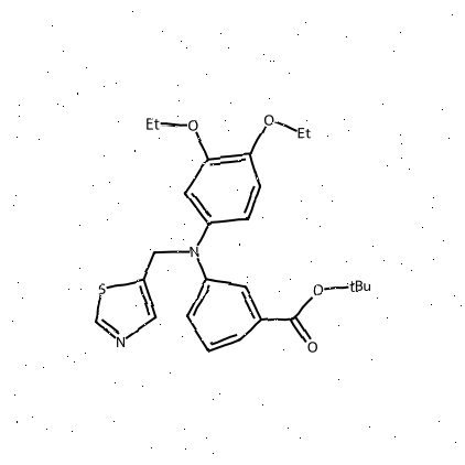 CCOc1ccc(N(Cc2cncs2)c2cccc(C(=O)OC(C)(C)C)c2)cc1OCC